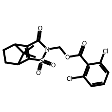 CC1(C)C2CCC1C1=C2C(=O)N(COC(=O)c2c(Cl)cccc2Cl)S1(=O)=O